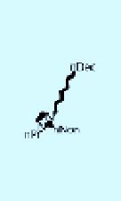 CCCCCCCCCCCCCCCCCN1C=CN(CCC)C1CCCCCCCCC